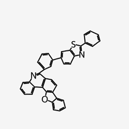 c1ccc(-c2nc3ccc(-c4cccc(-c5nc6ccccc6c6c5ccc5c7ccccc7oc56)c4)cc3s2)cc1